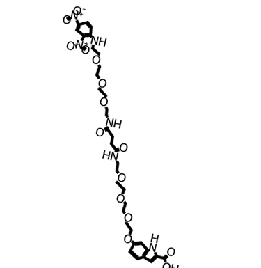 O=C(CCC(=O)NCCOCCOCCOCCOc1ccc2cc(C(=O)O)[nH]c2c1)NCCOCCOCCOCCNc1ccc([N+](=O)[O-])cc1[N+](=O)[O-]